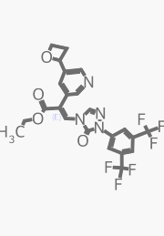 CCOC(=O)/C(=C/n1cnn(-c2cc(C(F)(F)F)cc(C(F)(F)F)c2)c1=O)c1cncc(C2CCO2)c1